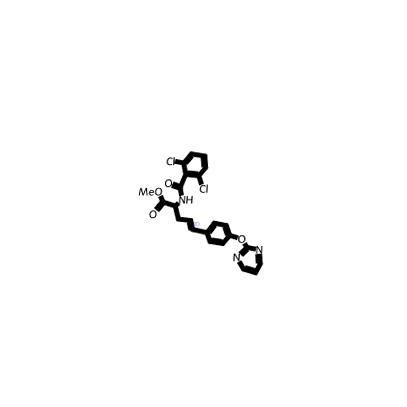 COC(=O)C(C/C=C/c1ccc(Oc2ncccn2)cc1)NC(=O)c1c(Cl)cccc1Cl